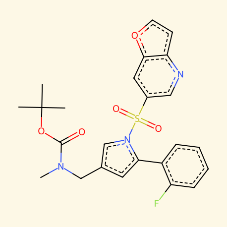 CN(Cc1cc(-c2ccccc2F)n(S(=O)(=O)c2cnc3ccoc3c2)c1)C(=O)OC(C)(C)C